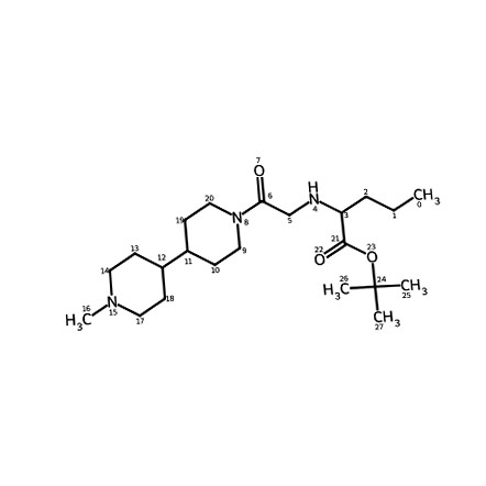 CCCC(NCC(=O)N1CCC(C2CCN(C)CC2)CC1)C(=O)OC(C)(C)C